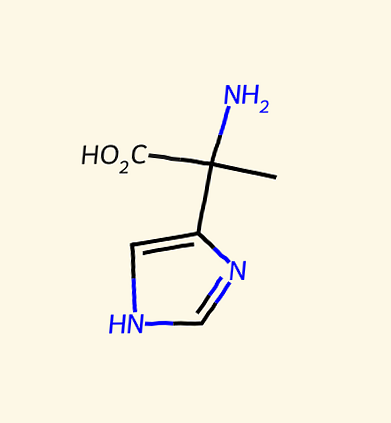 CC(N)(C(=O)O)c1c[nH]cn1